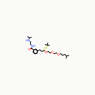 CC(C)CCCOCCOCCOC(CCc1cccc(C(=O)NCCNC(C)C)c1)SSC(C)(C)C